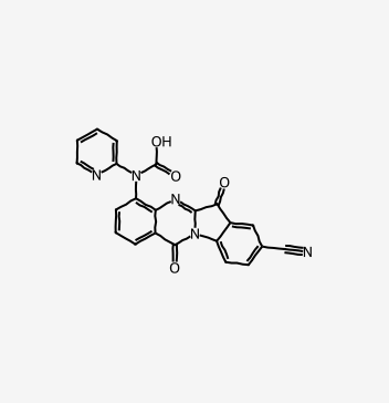 N#Cc1ccc2c(c1)C(=O)c1nc3c(N(C(=O)O)c4ccccn4)cccc3c(=O)n1-2